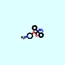 CN1CCCC(OC(=O)C(N)(c2ccccc2)c2ccccc2)CC1